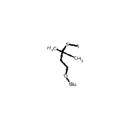 CC(C)(C)OCCC(C)(C)SI